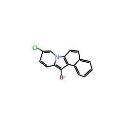 Clc1ccc2c(Br)c3c4ccccc4ccc3n2c1